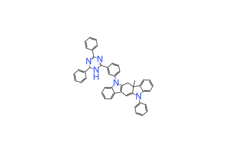 CC12Cc3c(c4ccccc4n3-c3cccc(C4=NC(c5ccccc5)=NC(c5ccccc5)N4)c3)C=C1N(c1ccccc1)c1ccccc12